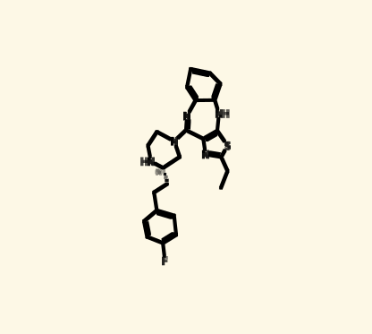 CCc1nc2c(s1)Nc1ccccc1N=C2N1CCN[C@@H](CCc2ccc(F)cc2)C1